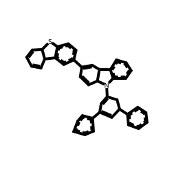 C1=CC2Sc3ccc(C4=CC5c6ccccc6N(C6=CC(c7ccccc7)=CC(c7ccccc7)C6)C5C=C4)cc3C2C=C1